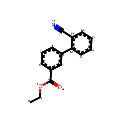 CCOC(=O)c1cccc(-c2ccccc2C#N)c1